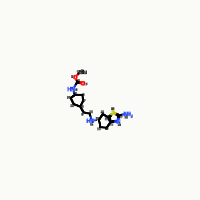 CC(C)(C)OC(=O)NC1CCC(CCN[C@H]2CCc3nc(N)sc3C2)CC1